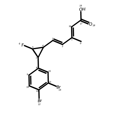 CC(C=CC1C(F)C1c1ccc(Br)c(Br)c1)=CC(=O)O